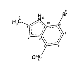 Cc1cc2c(C=O)ccc(Br)c2[nH]1